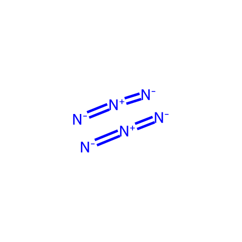 [N-]=[N+]=[N-].[N-]=[N+]=[N-]